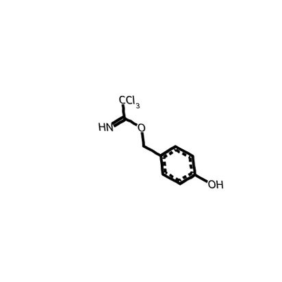 N=C(OCc1ccc(O)cc1)C(Cl)(Cl)Cl